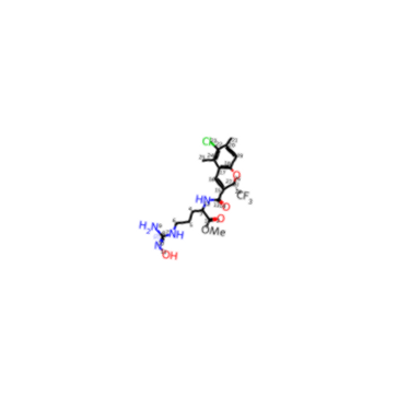 COC(=O)C(CCCN/C(N)=N\O)NC(=O)C1=Cc2c(cc(C)c(Cl)c2C)O[C@@H]1C(F)(F)F